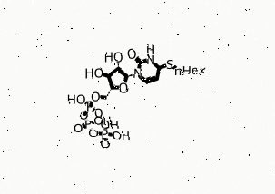 CCCCCCSC1C=CN([C@@H]2O[C@H](COP(=O)(O)OP(=O)(O)OP(=O)(O)O)C(O)[C@@H]2O)C(=O)N1